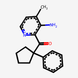 Cc1ccnc(C(=O)C2(c3ccccc3)CCCC2)c1N